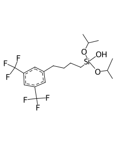 CC(C)O[Si](O)(CCCCc1cc(C(F)(F)F)cc(C(F)(F)F)c1)OC(C)C